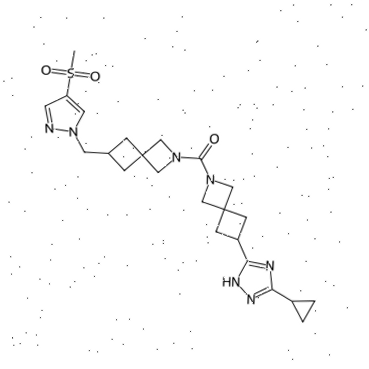 CS(=O)(=O)c1cnn(CC2CC3(C2)CN(C(=O)N2CC4(CC(c5nc(C6CC6)n[nH]5)C4)C2)C3)c1